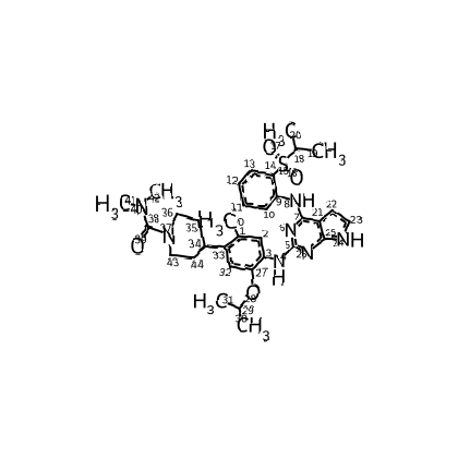 Cc1cc(Nc2nc(Nc3ccccc3S(=O)(=O)C(C)C)c3cc[nH]c3n2)c(OC(C)C)cc1C1CCN(C(=O)N(C)C)CC1